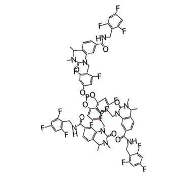 CC1c2ccc(C(=O)NCc3c(F)cc(F)cc3F)cc2N(Cc2c(F)cc(OP(Oc3cc(F)c(CN4C(=O)N(C)C(C)c5ccc(C(=O)NCc6c(F)cc(F)cc6F)cc54)c(F)c3)Oc3cc(F)c(CN4C(=O)N(C)C(C)c5ccc(C(=O)NCc6c(F)cc(F)cc6F)cc54)c(F)c3)cc2F)C(=O)N1C